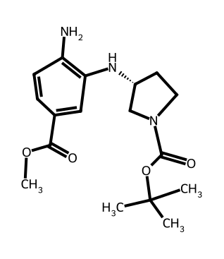 COC(=O)c1ccc(N)c(N[C@@H]2CCN(C(=O)OC(C)(C)C)C2)c1